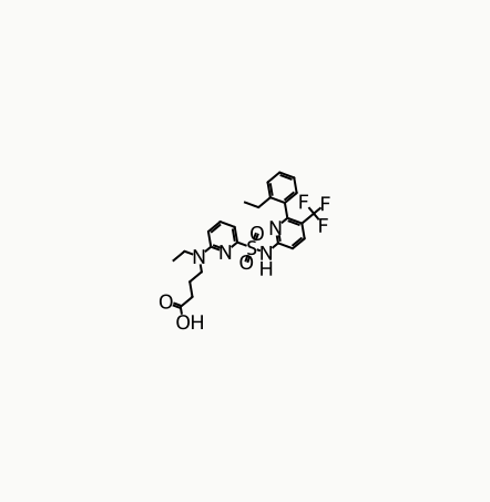 CCc1ccccc1-c1nc(NS(=O)(=O)c2cccc(N(CC)CCCC(=O)O)n2)ccc1C(F)(F)F